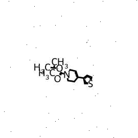 CC(C)(C)OC(=O)N1CC=C(c2ccsc2)CC1